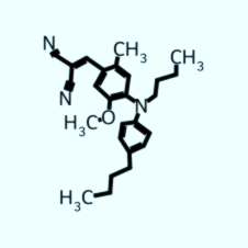 CCCCc1ccc(N(CCCC)c2cc(C)c(C=C(C#N)C#N)cc2OC)cc1